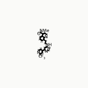 CNC(=O)c1ccnc2c(CCNc3cc(-c4ccnc(C(F)(F)F)c4)ncn3)cccc12